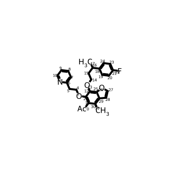 CC(=O)c1c(OCCc2ccccn2)c(OCCC(C)c2ccc(F)cc2)c2occc2c1C